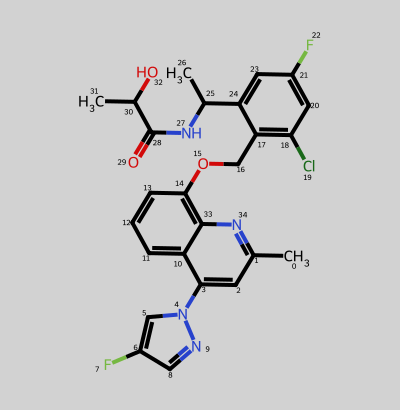 Cc1cc(-n2cc(F)cn2)c2cccc(OCc3c(Cl)cc(F)cc3C(C)NC(=O)C(C)O)c2n1